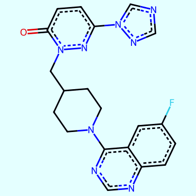 O=c1ccc(-n2cncn2)nn1CC1CCN(c2ncnc3ccc(F)cc23)CC1